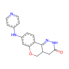 O=C1CC2COc3cc(Nc4ccncc4)ccc3C2=NN1